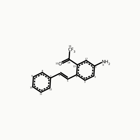 Nc1ccc(C=Cc2ccccc2)c(C(=O)C(F)(F)F)c1